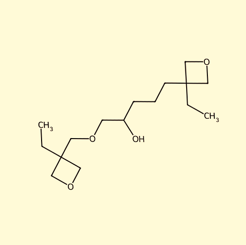 CCC1(CCCC(O)COCC2(CC)COC2)COC1